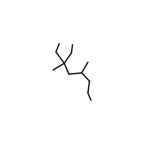 CC[CH]C(C)CC(C)(CC)CC